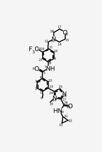 Cc1ccc(C(=O)Nc2ccc(CN3CCOCC3)c(C(F)(F)F)c2)cc1-c1cnc(C(=O)NC2CC2)n1C